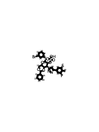 O=S(=O)(O)OC1C(Sc2cccc(Br)c2)OC2COC(c3ccccc3)OC2C1n1cc(-c2cc(F)c(F)c(F)c2)nn1